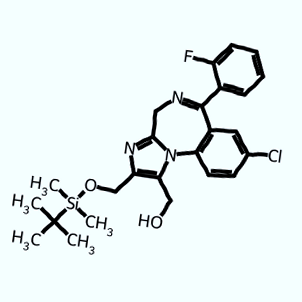 CC(C)(C)[Si](C)(C)OCc1nc2n(c1CO)-c1ccc(Cl)cc1C(c1ccccc1F)=NC2